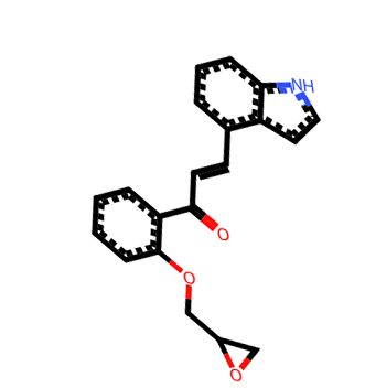 O=C(C=Cc1cccc2[nH]ccc12)c1ccccc1OCC1CO1